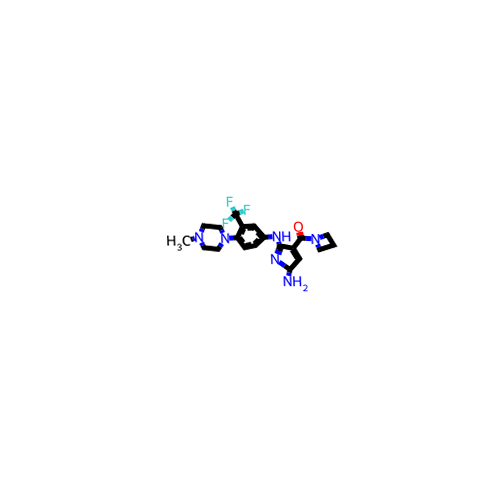 CN1CCN(c2ccc(NC3=NC(N)C=C3C(=O)N3CCC3)cc2C(F)(F)F)CC1